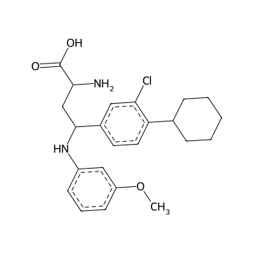 COc1cccc(NC(CC(N)C(=O)O)c2ccc(C3CCCCC3)c(Cl)c2)c1